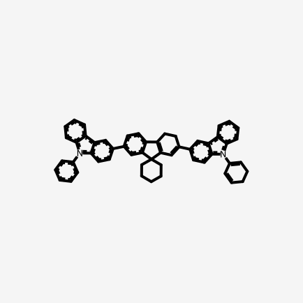 C1=CC(n2c3ccccc3c3cc(C4=CC5=C(CC4)c4ccc(-c6ccc7c(c6)c6ccccc6n7-c6ccccc6)cc4C54CCCCC4)ccc32)=CCC1